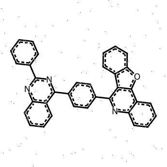 c1ccc(-c2nc(-c3ccc(-c4nc5ccccc5c5oc6ccccc6c45)cc3)c3ccccc3n2)cc1